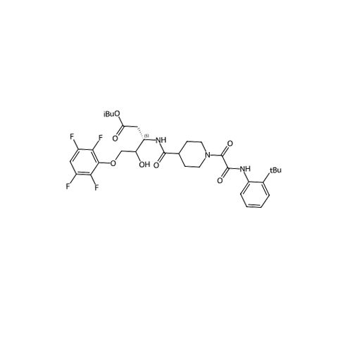 CC(C)COC(=O)C[C@H](NC(=O)C1CCN(C(=O)C(=O)Nc2ccccc2C(C)(C)C)CC1)C(O)COc1c(F)c(F)cc(F)c1F